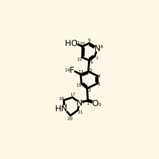 O=C(c1ccc(-c2cncc(O)c2)c(F)c1)N1CCNCC1